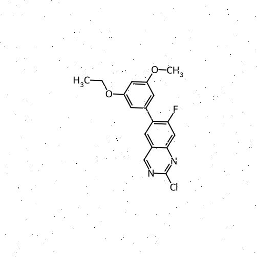 CCOc1cc(OC)cc(-c2cc3cnc(Cl)nc3cc2F)c1